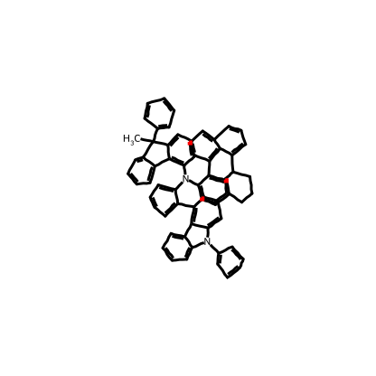 CC1(c2ccccc2)c2ccccc2-c2c(N(c3ccccc3-c3cccc4cccc(C5CCCCC5)c34)c3ccccc3-c3cccc4c3c3ccccc3n4-c3ccccc3)cccc21